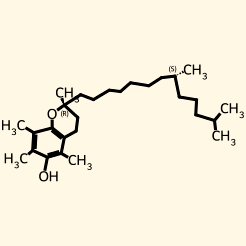 Cc1c(C)c2c(c(C)c1O)CC[C@@](C)(CCCCCCC[C@H](C)CCCC(C)C)O2